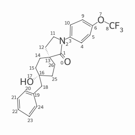 O=C1N(c2ccc(OC(F)(F)F)cc2)CC[C@]12CC[C@](O)(Cc1ccccc1)CC2